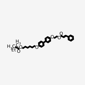 CCC(C)(C)C(=O)OCCCCCCOc1ccc(-c2ccc(OCCOC(=O)/C=C/c3ccccc3)cc2)cc1